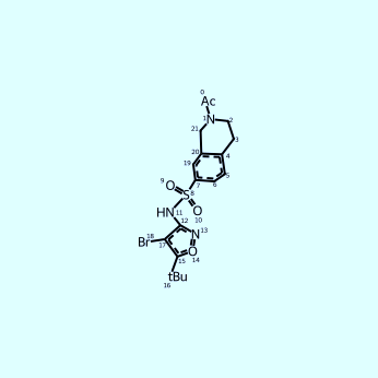 CC(=O)N1CCc2ccc(S(=O)(=O)Nc3noc(C(C)(C)C)c3Br)cc2C1